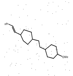 CCCC=CC1CCC(CCC2CCC(OC)CC2)CC1